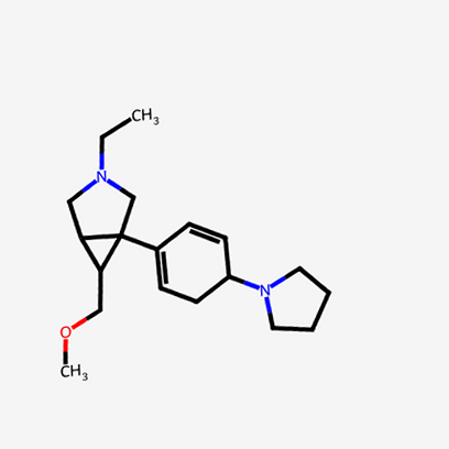 CCN1CC2C(COC)C2(C2=CCC(N3CCCC3)C=C2)C1